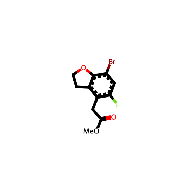 COC(=O)Cc1c(F)cc(Br)c2c1CCO2